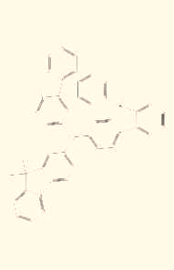 CC1(C)c2ccccc2-c2ccc(N(c3ccc4c(c3)C(C)(c3ccccc3)c3ccccc3-4)c3ccc4sc5ccccc5c4c3)cc21